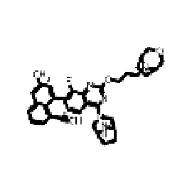 C#Cc1cccc2cc(C)cc(-c3c(F)cc4c(N5CC6CCC(C5)N6)nc(OCCCN5C6CCC5COC6)nc4c3F)c12